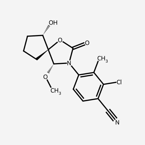 CO[C@H]1N(c2ccc(C#N)c(Cl)c2C)C(=O)O[C@]12CCC[C@@H]2O